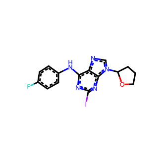 Fc1ccc(Nc2nc(I)nc3c2ncn3C2CCCO2)cc1